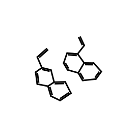 C=Cc1ccc2ccccc2c1.C=Cc1cccc2ccccc12